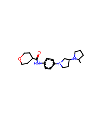 CC1CCCN1C1CCN(c2ccc(NC(=O)C3CCOCC3)cc2)C1